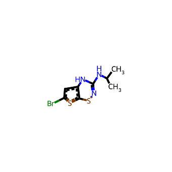 CC(C)NC1=NSc2sc(Br)cc2N1